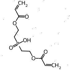 C=CC(=O)OCCP(=O)(O)CCOC(=O)C=C